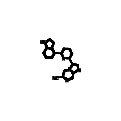 N#Cc1cn2c(-c3cccc(-c4cccc5[nH]ccc45)n3)cnc2cn1